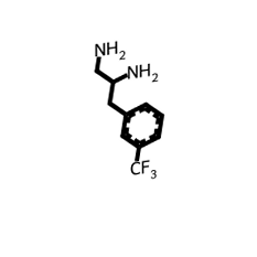 NCC(N)Cc1cccc(C(F)(F)F)c1